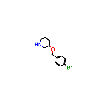 Brc1ccc(COC2CCCNC2)cc1